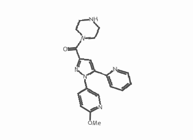 COc1ccc(-n2nc(C(=O)N3CCNCC3)cc2-c2ccccn2)cn1